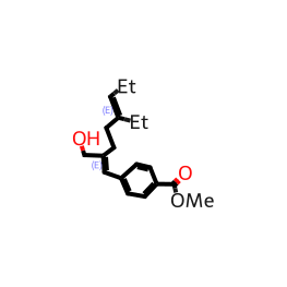 CC/C=C(\CC)CC/C(=C\c1ccc(C(=O)OC)cc1)CO